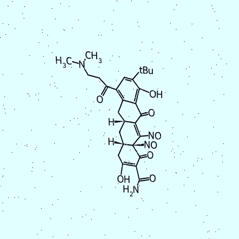 CN(C)CCC(=O)c1cc(C(C)(C)C)c(O)c2c1C[C@H]1C[C@H]3CC(O)=C(C(N)=O)C(=O)[C@@]3(N=O)C(N=O)=C1C2=O